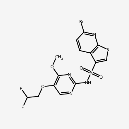 COc1nc(NS(=O)(=O)c2csc3nc(Br)ccc23)ncc1OCC(F)F